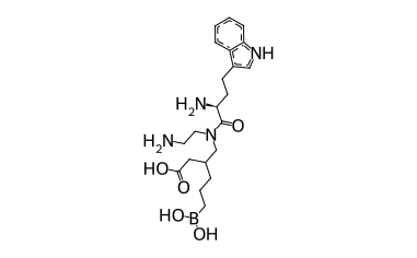 NCCN(CC(CCCB(O)O)CC(=O)O)C(=O)[C@@H](N)CCc1c[nH]c2ccccc12